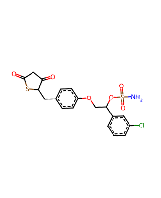 NS(=O)(=O)OC(COc1ccc(CC2SC(=O)CC2=O)cc1)c1cccc(Cl)c1